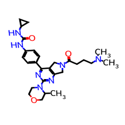 CC1COCCN1c1nc2c(c(-c3ccc(NC(=O)NC4CC4)cc3)n1)CN(C(=O)CCCN(C)C)C2